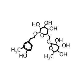 Cc1cc(CCO[C@@H]2O[C@H](CO[C@@H]3O[C@@H](C)[C@H](O)[C@@H](O)[C@H]3O)[C@@H](O)[C@H](O)[C@H]2O)ccc1O